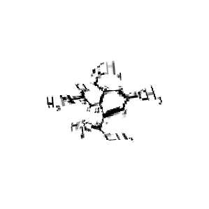 CCc1cc(C)cc(C(C)C)c1CC(N)=O